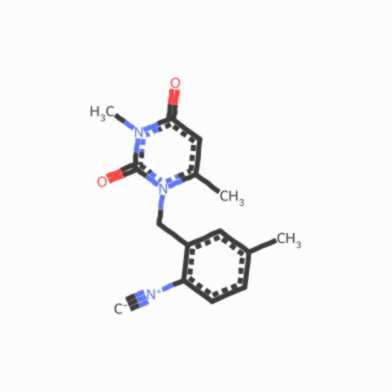 [C-]#[N+]c1ccc(C)cc1Cn1c(C)cc(=O)n(C)c1=O